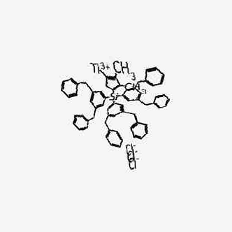 CC1=[C]([Ti+3])CC([Si](c2cc(Cc3ccccc3)cc(Cc3ccccc3)c2)(c2cc(Cc3ccccc3)cc(Cc3ccccc3)c2)c2cc(Cc3ccccc3)cc(Cc3ccccc3)c2)=C1C.[Cl-].[Cl-].[Cl-]